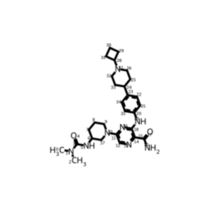 CN(C)C(=O)NC1CCCN(c2cnc(C(N)=O)c(Nc3ccc(C4CCN(C5CCC5)CC4)cc3)n2)C1